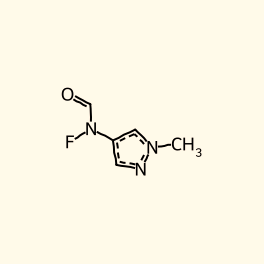 Cn1cc(N(F)C=O)cn1